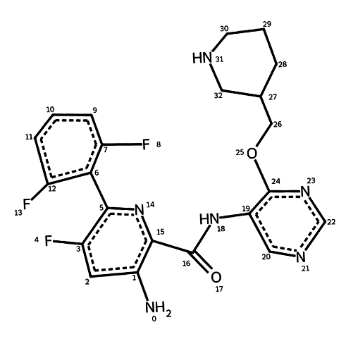 Nc1cc(F)c(-c2c(F)cccc2F)nc1C(=O)Nc1cncnc1OCC1CCCNC1